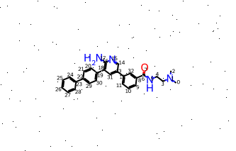 CN(C)CCNC(=O)c1cccc(-c2cnc(N)c(-c3ccc(-c4ccccc4)cc3)c2)c1